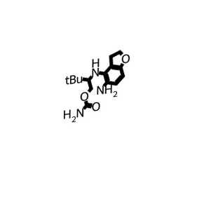 CC(C)(C)C(COC(N)=O)Nc1c(N)ccc2c1CCO2